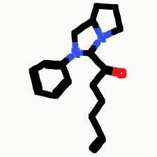 C=CCCCC(=O)C1N(c2ccccc2)CC2CCCN21